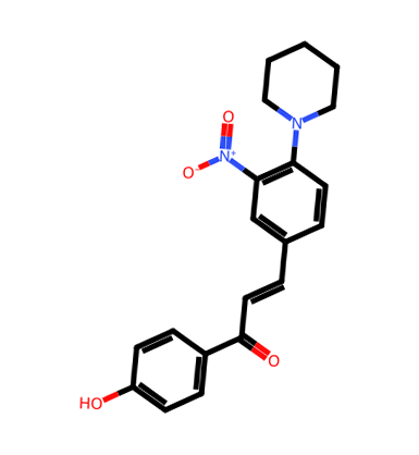 O=C(C=Cc1ccc(N2CCCCC2)c([N+](=O)[O-])c1)c1ccc(O)cc1